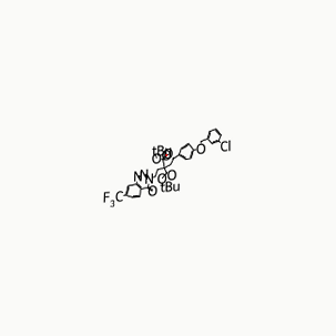 CC(C)(C)OC(=O)C(CCn1nnc2cc(C(F)(F)F)ccc2c1=O)(CC(=O)c1ccc(OCc2cccc(Cl)c2)cc1)C(=O)OC(C)(C)C